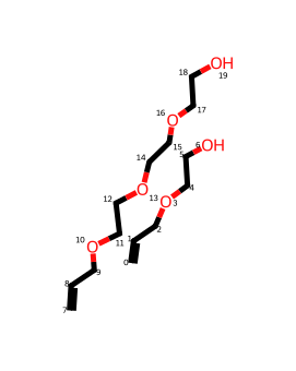 C=CCOCCO.C=CCOCCOCCOCCO